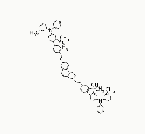 Cc1cccc(N(c2ccccc2)c2ccc3c(c2)C(C)(C)c2cc(/C=C/c4ccc5c(ccc6cc(/C=C/c7ccc8c(c7)C(C)(C)c7cc(N(c9ccccc9)c9cccc(C)c9)ccc7-8)ccc65)c4)ccc2-3)c1